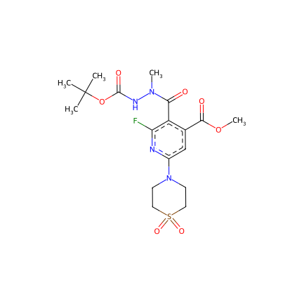 COC(=O)c1cc(N2CCS(=O)(=O)CC2)nc(F)c1C(=O)N(C)NC(=O)OC(C)(C)C